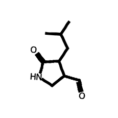 CC(C)CC1C(=O)NCC1C=O